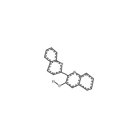 CCOc1cc2ccccc2nc1-c1ccc2ccccc2n1